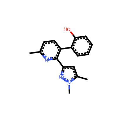 Cc1ccc(-c2ccccc2O)c(-c2cc(C)n(C)n2)n1